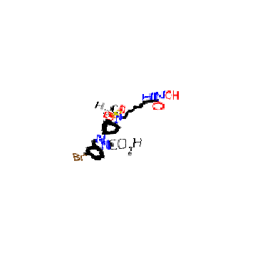 CS(=O)(=O)N(CCCCCCC(=O)NO)c1ccc(N2Cc3cc(Br)ccc3N2C(=O)O)cc1